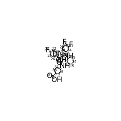 O=C(O)c1ccc(NC(=O)C(C2CCCCC2)C2(C(O)c3ccc(F)cc3)Nc3cc(F)c(F)cc3N2)cc1